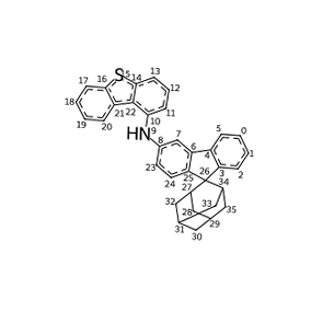 c1ccc2c(c1)-c1cc(Nc3cccc4sc5ccccc5c34)ccc1C21C2CC3CC(C2)CC1C3